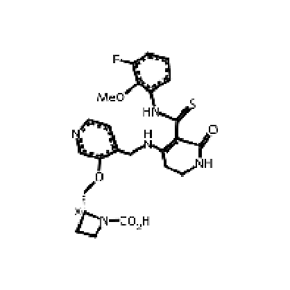 COc1c(F)cccc1NC(=S)C1=C(NCc2ccncc2OC[C@H]2CCN2C(=O)O)CCNC1=O